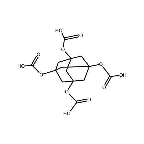 O=C(O)OC12CC3(OC(=O)O)CC(OC(=O)O)(C1)CC(OC(=O)O)(C2)C3